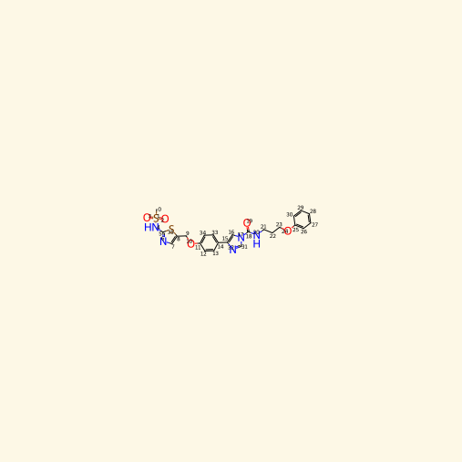 CS(=O)(=O)Nc1ncc(COc2ccc(-c3cn(C(=O)NCCCOc4ccccc4)cn3)cc2)s1